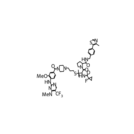 CNc1nc(Nc2ccc(C(=O)N3CCN(CCCSC(C)(C)C(NC(=O)C4(F)CC4)C(=O)N4CCCC4C(=O)NCc4ccc(-c5scnc5C)cc4)CC3)cc2OC)ncc1C(F)(F)F